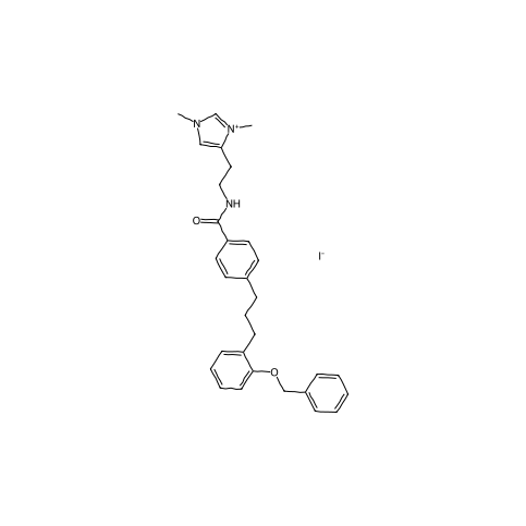 Cn1cc(CCNC(=O)c2ccc(CCCc3ccccc3OCc3ccccc3)cc2)[n+](C)c1.[I-]